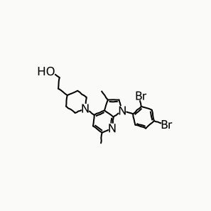 Cc1cc(N2CCC(CCO)CC2)c2c(C)cn(-c3ccc(Br)cc3Br)c2n1